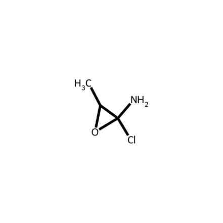 CC1OC1(N)Cl